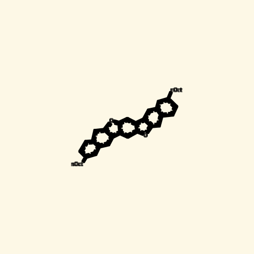 CCCCCCCCc1ccc2cc3oc4cc5c(cc4c3cc2c1)oc1cc2ccc(CCCCCCCC)cc2cc15